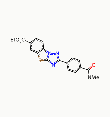 CCOC(=O)c1ccc2c(c1)sc1nc(-c3ccc(C(=O)NC)cc3)nn12